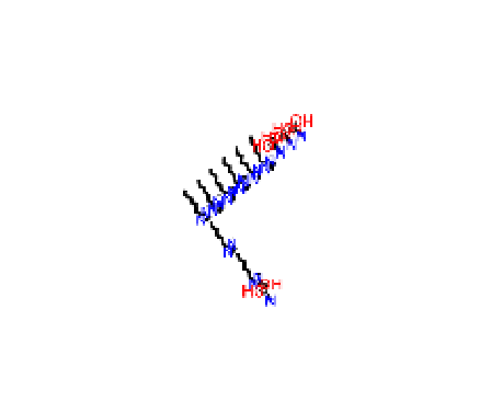 CCCCCCc1nccn1C.CCCCCCc1nccn1C.CCCCCCc1nccn1C.CCCCCCc1nccn1C.CCCCCCc1nccn1C.CCCCCCc1nccn1C.CCCCCCc1nccn1C.CCCCCCc1nccn1C.N#CB(O)O.N#CB(O)O.N#CB(O)O.N#CB(O)O